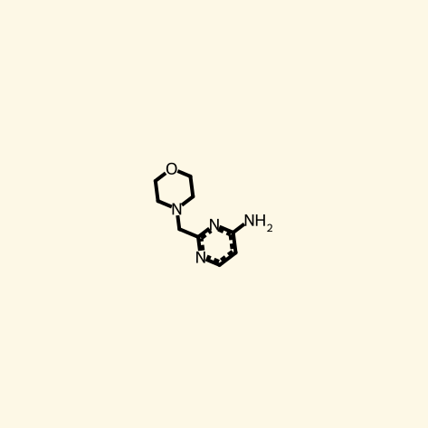 Nc1ccnc(CN2CCOCC2)n1